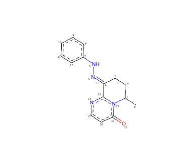 CC1CC/C(=N\Nc2ccccc2)c2nccc(=O)n21